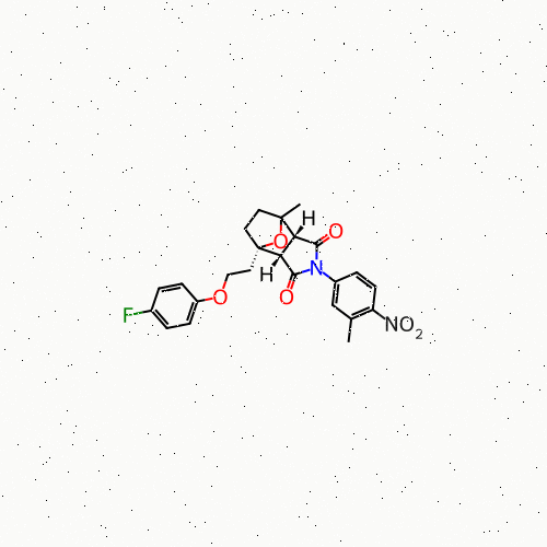 Cc1cc(N2C(=O)[C@@H]3[C@H](C2=O)[C@@]2(CCOc4ccc(F)cc4)CCC3(C)O2)ccc1[N+](=O)[O-]